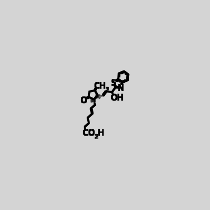 C=C1CC(=O)[C@H](CC=CCCCC(=O)O)[C@H]1C=CC(O)c1nc2ccccc2s1